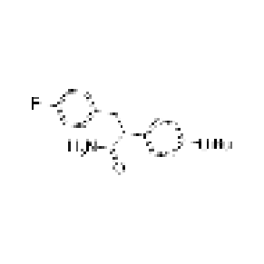 CC(C)COc1ccc(C(Cc2ccc(F)cc2)C(N)=O)cc1